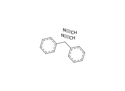 C#N.C#N.c1ccc(Cc2ccccc2)cc1